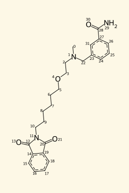 CN(CCOCCCCCCN1C(=O)c2ccccc2C1=O)Cc1cccc(C(N)=O)c1